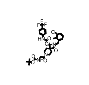 Cc1c(Cl)cccc1CNC(=O)C1(COC(=O)Nc2ccc(C(F)(F)F)cc2)CCN(C(=O)CNC(=O)OC(C)(C)C)CC1